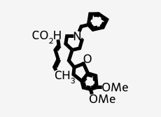 C/C=C/C=C/C(=O)O.COc1cc2c(cc1OC)C(=O)C(CC1CCN(Cc3ccccc3)CC1)C2